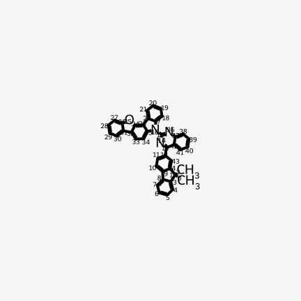 CC1(C)c2ccccc2-c2ccc(-c3nc(-n4c5ccccc5c5c6oc7ccccc7c6ccc54)nc4ccccc34)cc21